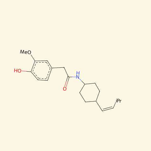 COc1cc(CC(=O)NC2CCC(/C=C\C(C)C)CC2)ccc1O